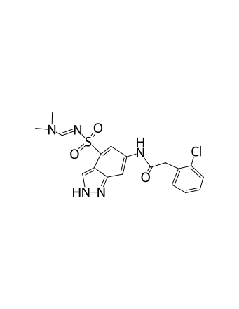 CN(C)C=NS(=O)(=O)c1cc(NC(=O)Cc2ccccc2Cl)cc2n[nH]cc12